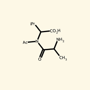 CC(=O)N(C(=O)C(C)N)C(C(=O)O)C(C)C